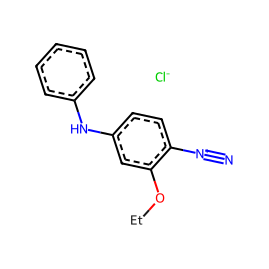 CCOc1cc(Nc2ccccc2)ccc1[N+]#N.[Cl-]